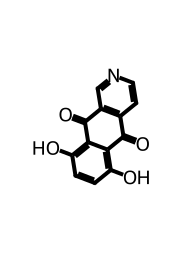 O=C1c2ccncc2C(=O)c2c(O)ccc(O)c21